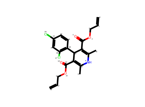 C=CCOC(=O)C1=C(C)NC(C)=C(C(=O)OCC=C)C1c1ccc(Cl)cc1Cl